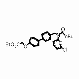 CCCCC(=O)N(Cc1ccc(-c2ccc(OCC(=O)OCC)cc2)cc1)c1cccc(Cl)c1